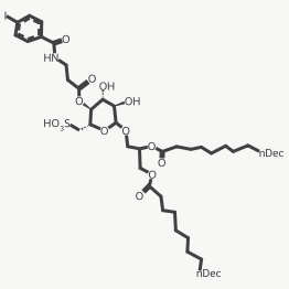 CCCCCCCCCCCCCCCCCC(=O)OCC(COC1O[C@H](CS(=O)(=O)O)[C@@H](OC(=O)CCNC(=O)c2ccc(I)cc2)[C@H](O)[C@H]1O)OC(=O)CCCCCCCCCCCCCCCCC